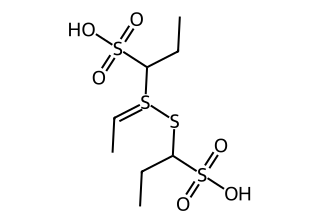 CC=S(SC(CC)S(=O)(=O)O)C(CC)S(=O)(=O)O